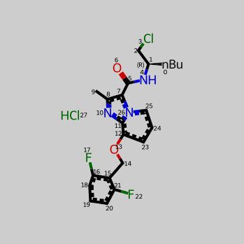 CCCC[C@H](CCl)NC(=O)c1c(C)nc2c(OCc3c(F)cccc3F)cccn12.Cl